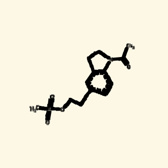 CC(=O)N1CCc2cc(CCOS(C)(=O)=O)ccc21